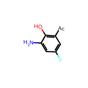 CC(=O)c1cc(F)cc(N)c1O